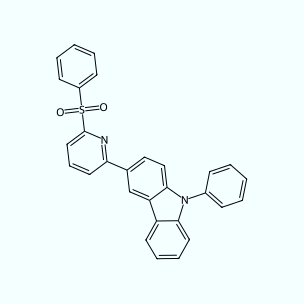 O=S(=O)(c1ccccc1)c1cccc(-c2ccc3c(c2)c2ccccc2n3-c2ccccc2)n1